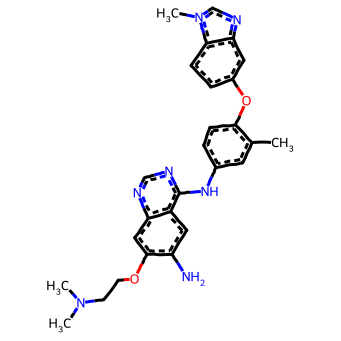 Cc1cc(Nc2ncnc3cc(OCCN(C)C)c(N)cc23)ccc1Oc1ccc2c(c1)ncn2C